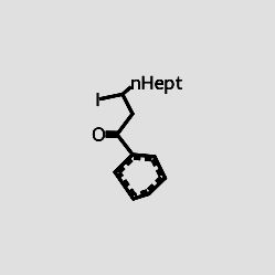 CCCCCCCC(I)CC(=O)c1ccccc1